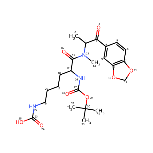 CC(C(=O)c1ccc2c(c1)OCO2)N(C)C(=O)C(CCCCNC(=O)O)NC(=O)OC(C)(C)C